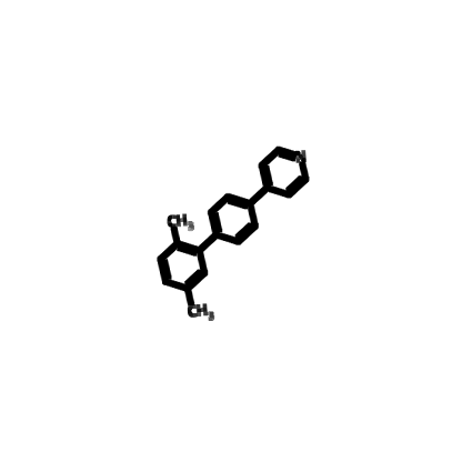 Cc1ccc(C)c(-c2ccc(-c3ccncc3)cc2)c1